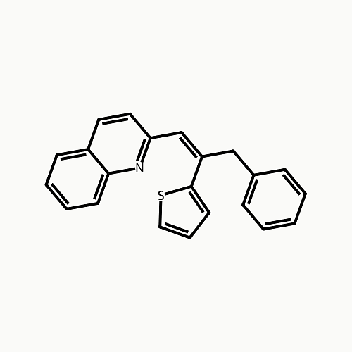 C(=C(Cc1ccccc1)c1cccs1)c1ccc2ccccc2n1